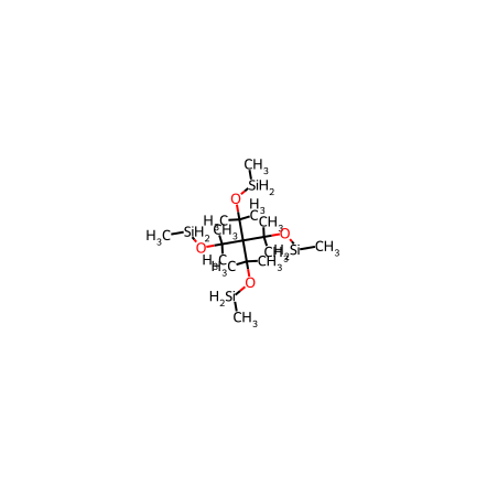 C[SiH2]OC(C)(C)C(C(C)(C)O[SiH2]C)(C(C)(C)O[SiH2]C)C(C)(C)O[SiH2]C